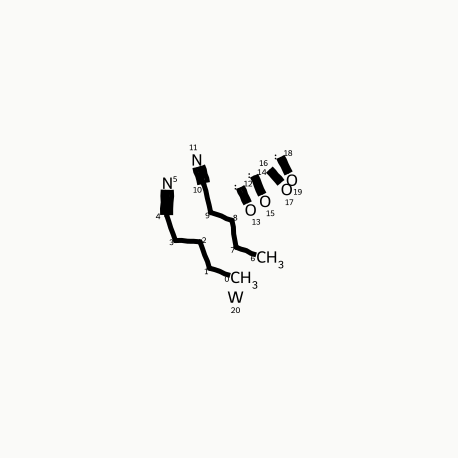 CCCCC#N.CCCCC#N.[C]=O.[C]=O.[C]=O.[C]=O.[W]